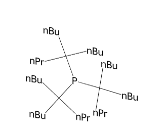 CCCCC(CCC)(CCCC)P(C(CCC)(CCCC)CCCC)C(CCC)(CCCC)CCCC